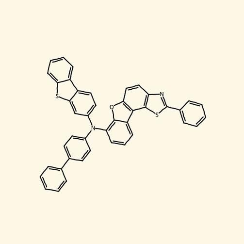 c1ccc(-c2ccc(N(c3ccc4c(c3)sc3ccccc34)c3cccc4c3oc3ccc5nc(-c6ccccc6)sc5c34)cc2)cc1